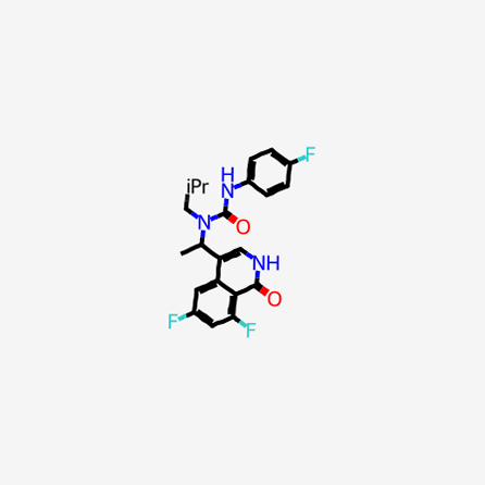 CC(C)CN(C(=O)Nc1ccc(F)cc1)C(C)c1c[nH]c(=O)c2c(F)cc(F)cc12